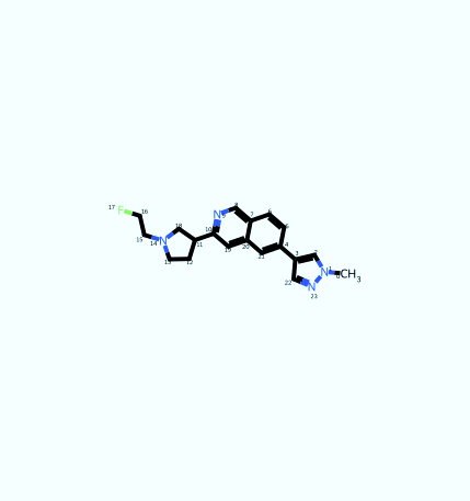 Cn1cc(-c2ccc3cnc(C4CCN(CCF)C4)cc3c2)cn1